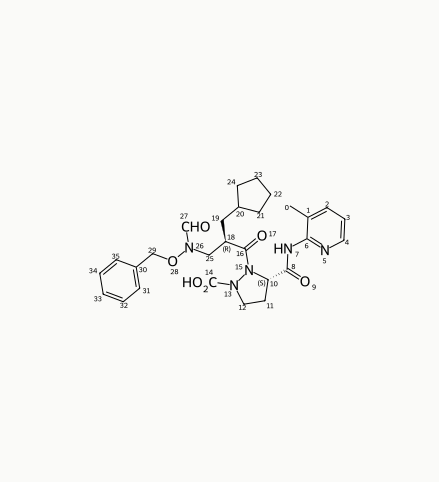 Cc1cccnc1NC(=O)[C@@H]1CCN(C(=O)O)N1C(=O)[C@H](CC1CCCC1)CN(C=O)OCc1ccccc1